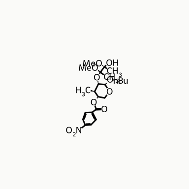 CCCCO[C@@H]1OC[C@H](OC(=O)c2ccc([N+](=O)[O-])cc2)[C@@H](C)[C@@H]1O[C@](C)(OC)[C@](C)(O)OC